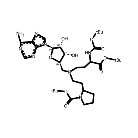 CC(C)(C)OC(=O)NC(CCN(CCC1CCCN1C(=O)OC(C)(C)C)C[C@H]1O[C@@H](n2cnc3c(N)ncnc32)[C@H](O)[C@@H]1O)C(=O)OC(C)(C)C